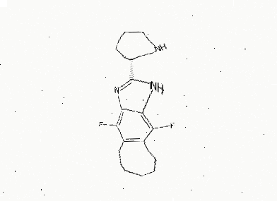 Fc1c2c(c(F)c3[nH]c([C@@H]4CCCN4)nc13)CCC2